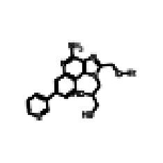 CCOCc1nc2c(N)nc3cc(-c4cccnc4)ccc3c2n1CC(O)CO